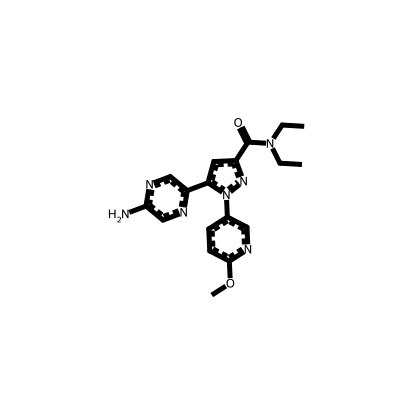 CCN(CC)C(=O)c1cc(-c2cnc(N)cn2)n(-c2ccc(OC)nc2)n1